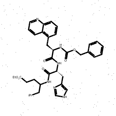 CCOC(=O)CCC(CC(C)C)NC(=O)[C@@H](Cc1c[nH]cn1)NC(=O)[C@@H](Cc1cccc2ncccc12)NC(=O)OCc1ccccc1